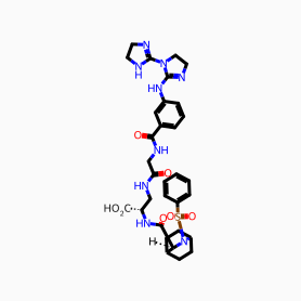 O=C(CNC(=O)c1cccc(NC2=NCCN2C2=NCCN2)c1)NC[C@H](NC(=O)[C@@H]1C2CCC(CC2)N1S(=O)(=O)c1ccccc1)C(=O)O